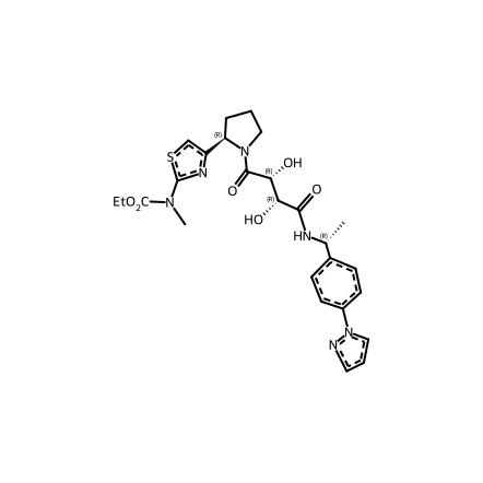 CCOC(=O)N(C)c1nc([C@H]2CCCN2C(=O)[C@H](O)[C@@H](O)C(=O)N[C@H](C)c2ccc(-n3cccn3)cc2)cs1